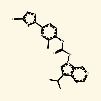 Cc1nc(-c2nc(Cl)cs2)ncc1OC(=O)Nn1cc(C(C)C)c2ccncc21